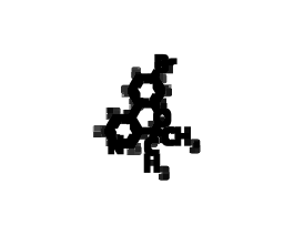 CC1(C)Oc2cc(Br)ccc2-c2ccncc21